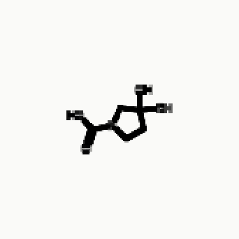 O=C(O)N1CCC(O)(O)C1